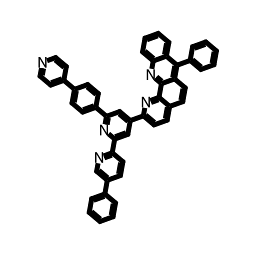 c1ccc(-c2ccc(-c3cc(-c4ccc5ccc6c(-c7ccccc7)c7ccccc7nc6c5n4)cc(-c4ccc(-c5ccncc5)cc4)n3)nc2)cc1